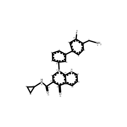 NCc1ccc(-c2cccc(-n3cc(C(=O)NC4CC4)c(=O)c4cccnc43)c2)cc1F